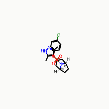 Cc1n[nH]c(C)c1S(=O)(=O)N1[C@@H]2CC[C@H]1CC(Oc1ccc(Cl)cc1)C2